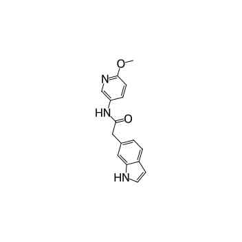 COc1ccc(NC(=O)Cc2ccc3cc[nH]c3c2)cn1